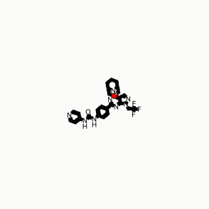 O=C(Nc1ccncc1)Nc1ccc(-c2nc(N3C4CCCC3COC4)c3cnn(CC(F)(F)F)c3n2)cc1